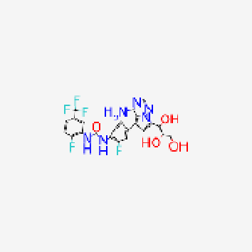 Nc1ncnn2c(C(O)C(O)CO)cc(-c3ccc(NC(=O)Nc4cc(C(F)(F)F)ccc4F)c(F)c3)c12